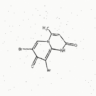 Cc1cc(=O)[nH]c2c(Br)c(=O)c(Br)cn12